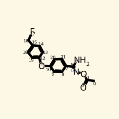 CC(=O)O/N=C(\N)c1ccc(Oc2ccc(CF)cc2)cc1